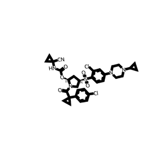 N#CC1(NC(=O)O[C@H]2C[C@@H](S(=O)(=O)c3ccc(N4CCN(C5CC5)CC4)cc3Cl)CN2C(=O)C2(c3ccc(Cl)cc3)CC2)CC1